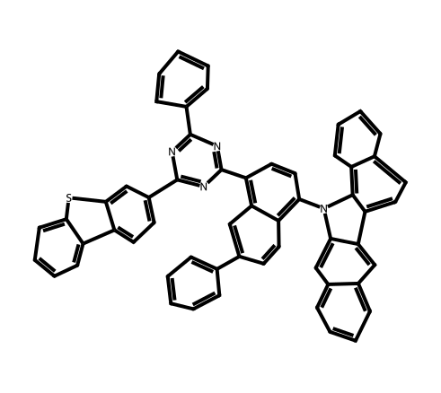 c1ccc(-c2ccc3c(-n4c5cc6ccccc6cc5c5ccc6ccccc6c54)ccc(-c4nc(-c5ccccc5)nc(-c5ccc6c(c5)sc5ccccc56)n4)c3c2)cc1